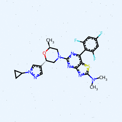 C[C@H]1CN(c2nc(-c3c(F)cc(F)cc3F)c3sc(N(C)C)nc3n2)C[C@H](c2cnn(C3CC3)c2)O1